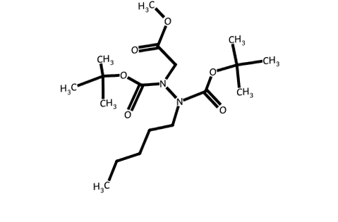 CCCCCN(C(=O)OC(C)(C)C)N(CC(=O)OC)C(=O)OC(C)(C)C